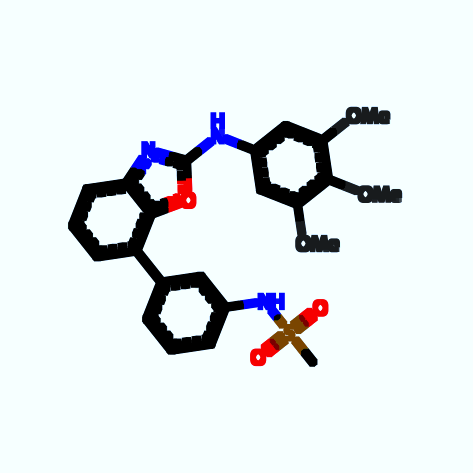 COc1cc(Nc2nc3cccc(-c4cccc(NS(C)(=O)=O)c4)c3o2)cc(OC)c1OC